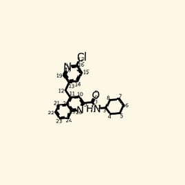 O=C(NC1CCCCC1)c1cc(Cc2ccc(Cl)nc2)c2ccccc2n1